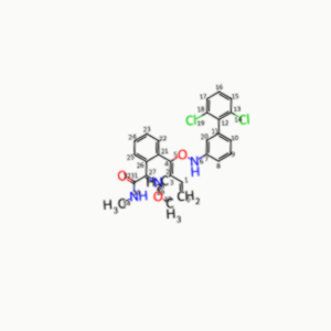 C=CC(C)=C(ONc1cccc(-c2c(Cl)cccc2Cl)c1)c1ccccc1C(=NOC)C(=O)NC